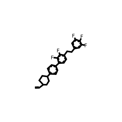 C=CC1CCC(c2ccc(-c3ccc(CCc4cc(F)c(F)c(F)c4)c(F)c3F)cc2)CC1